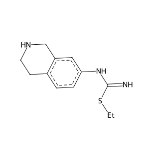 CCSC(=N)Nc1ccc2c(c1)CNCC2